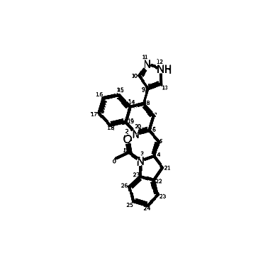 CC(=O)N1/C(=C\c2cc(-c3cn[nH]c3)c3ccccc3n2)Cc2ccccc21